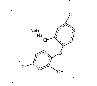 Oc1cc(Cl)ccc1Oc1ccc(Cl)cc1Cl.[NaH].[NaH]